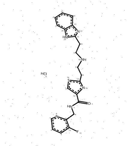 Cl.O=C(NCc1ncccc1F)c1csc(CCNCCc2nc3ccccc3[nH]2)n1